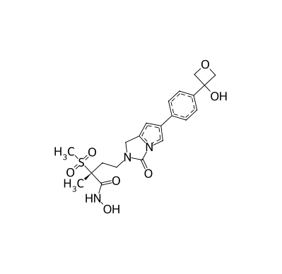 C[C@@](CCN1Cc2cc(-c3ccc(C4(O)COC4)cc3)cn2C1=O)(C(=O)NO)S(C)(=O)=O